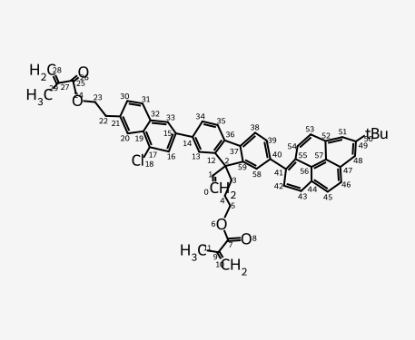 C=CC1(CCCOC(=O)C(=C)C)c2cc(-c3cc(Cl)c4cc(CCOC(=O)C(=C)C)ccc4c3)ccc2-c2ccc(-c3ccc4ccc5cc(C(C)(C)C)cc6ccc3c4c56)cc21